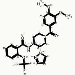 COc1cc(C(=O)N2CC[C@H](NC(=O)c3ccccc3OC(F)(F)F)[C@@H](n3cccn3)C2)cnc1OC